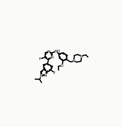 CCOc1cc(Nc2ncc(F)c(-c3cc(F)c4nn(C(C)C)cc4c3)n2)ccc1CN1CCN(CC)CC1